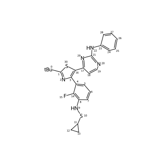 CC(C)(C)c1nc(-c2cccc(NSC3CC3)c2F)c(-c2ccnc(Nc3ccccc3)n2)s1